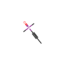 CC#CP(C)(C)=O